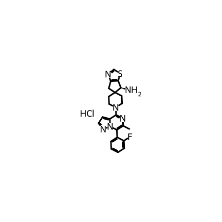 Cc1nc(N2CCC3(CC2)Cc2ncsc2[C@H]3N)c2ccnn2c1-c1ccccc1F.Cl